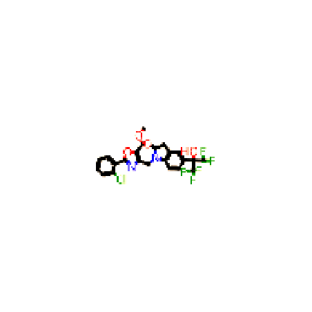 COC(=O)c1oc(-c2ccccc2Cl)nc1CN1c2ccc(C(O)(C(F)(F)F)C(F)(F)F)cc2CC1C